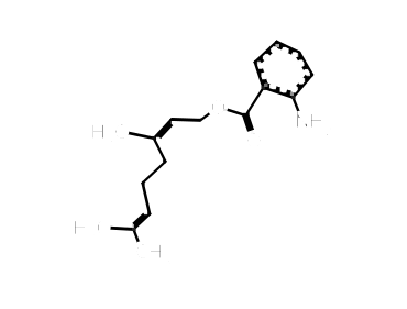 CC(C)=CCCC(C)=CCOC(=O)c1ccccc1N